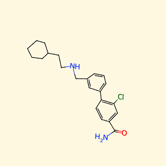 NC(=O)c1ccc(-c2cccc(CNCCC3CCCCC3)c2)c(Cl)c1